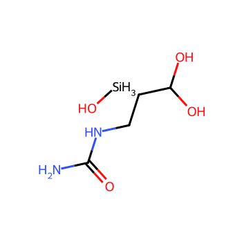 NC(=O)NCCC(O)O.O[SiH3]